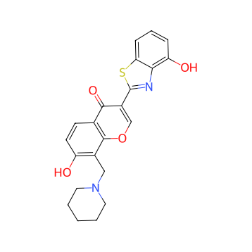 O=c1c(-c2nc3c(O)cccc3s2)coc2c(CN3CCCCC3)c(O)ccc12